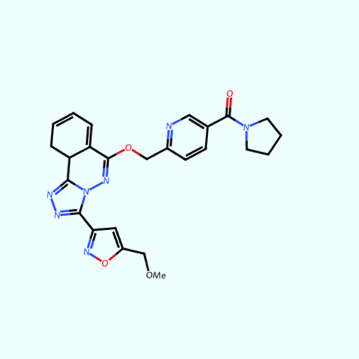 COCc1cc(-c2nnc3n2N=C(OCc2ccc(C(=O)N4CCCC4)cn2)C2=CC=CCC23)no1